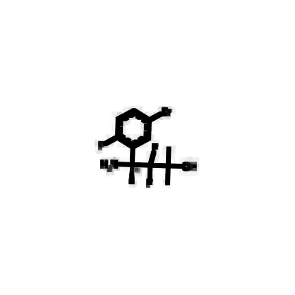 CC(C)(O)C(F)(F)[C@](C)(N)c1cc(Br)ccc1F